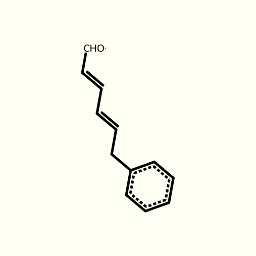 O=[C]C=CC=CCc1ccccc1